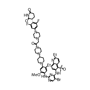 CCc1ccc2c(P(C)(C)=O)c(Nc3nc(Nc4cc(CC)c(N5CCC(N6CCN(C(=O)CN7CCN(c8cc(F)c([C@H]9CCC(=O)NC9=O)c(F)c8)CC7)CC6)CC5)cc4OC)ncc3Br)ccc2n1